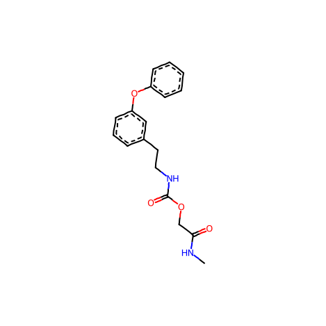 CNC(=O)COC(=O)NCCc1cccc(Oc2ccccc2)c1